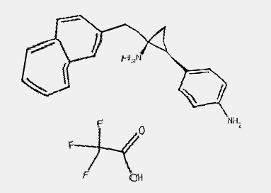 Nc1ccc([C@@H]2C[C@@]2(N)Cc2ccc3ccccc3c2)cc1.O=C(O)C(F)(F)F